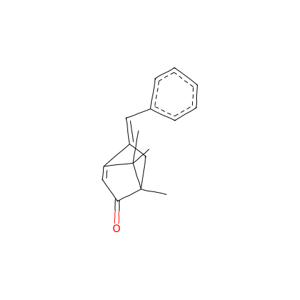 CC1(C)C2=CC(=O)C1(C)CC2=Cc1ccccc1